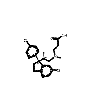 C[C@@H](CN(C)CCC(=O)O)[C@@]1(c2ccc(Cl)cc2)CCc2ccc(Cl)cc21